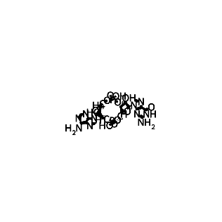 Nc1nc2c(ncn2[C@@H]2O[C@@H]3COP(=O)(O)C[C@H]4C(O)[C@@H](COP(=O)(O)OC3[C@@H]2O)O[C@H]4n2cnc3c(N)ncnc32)c(=O)[nH]1